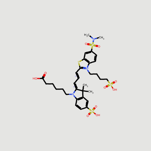 CN(C)S(=O)(=O)c1ccc2c(c1)sc(/C=C/C=C1/N(CCCCCC(=O)O)c3ccc(S(=O)(=O)O)cc3C1(C)C)[n+]2CCCCS(=O)(=O)O